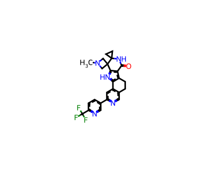 CN1CC2(C1)c1[nH]c3c(c1C(=O)NC21CC1)CCc1cnc(-c2ccc(C(F)(F)F)nc2)cc1-3